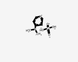 CN(C)c1ccncc1.[O]=[Cr](=[O])([OH])[OH]